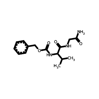 CC(C)C(NC(=O)OCc1ccccc1)C(=O)NCC(N)=O